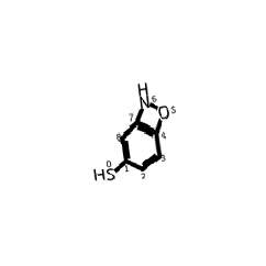 Sc1ccc2o[nH]c2c1